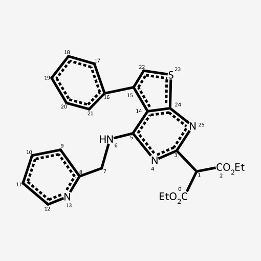 CCOC(=O)C(C(=O)OCC)c1nc(NCc2ccccn2)c2c(-c3ccccc3)csc2n1